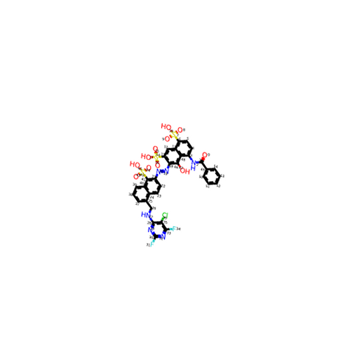 O=C(Nc1ccc(S(=O)(=O)O)c2cc(S(=O)(=O)O)c(N=Nc3ccc4c(CNc5nc(F)nc(F)c5Cl)cccc4c3S(=O)(=O)O)c(O)c12)c1ccccc1